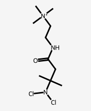 CC(C)(CC(=O)NCC[N+](C)(C)C)N(Cl)Cl